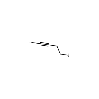 [CH2]C#CCCI